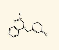 O=C1C=C(C[C@H](C[N+](=O)[O-])c2ccccc2)CCC1